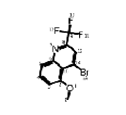 COc1cccc2nc(C(F)(F)F)cc(Br)c12